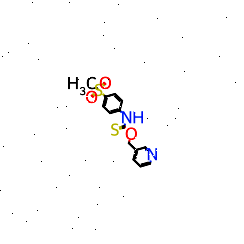 CS(=O)(=O)c1ccc(NC(=S)OCc2cccnc2)cc1